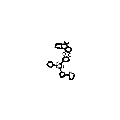 CC1(C)c2ccccc2-c2c1ccc1c2Oc2cc(-c3nc(-c4ccccc4)nc(-c4cccc(-c5ccccn5)c4)n3)ccc2O1